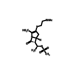 CC(=O)NCCSC1=C(C(=O)O)N2C(=O)[C@@H]([C@H](C)OS(C)(=O)=O)[C@H]2C1